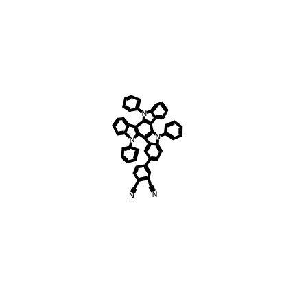 N#Cc1ccc(-c2ccc3c(c2)c2c4c(c5ccccc5n4-c4ccccc4)c4c(c5ccccc5n4-c4ccccc4)c2n3-c2ccccc2)cc1C#N